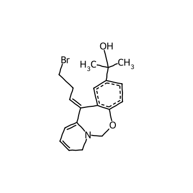 CC(C)(O)c1ccc2c(c1)C(=CCCBr)C1=CC=CCN1CO2